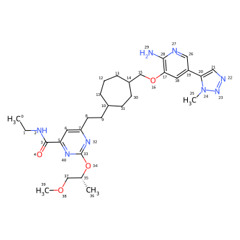 CCNC(=O)c1cc(CCC2CCCC(COc3cc(-c4cnnn4C)cnc3N)CC2)nc(O[C@H](C)COC)n1